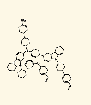 C=CC1=CC=C(OC2=CC=C(C3(C4CCCCC4)C4=C(C=CC(N(C5C=CC(C6C=CC7C(C6)C6CCCC=C6N7C6=CCC(C7=CC=C(C=C)CC7)CC6)CC5)C5CC=C(C6CC=C(C(C)(C)C)CC6)CC5)C4)C4CCC=CC43)CC2)CC1